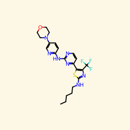 CCCCCNc1nc(C(F)(F)F)c(-c2ccnc(Nc3ccc(N4CCOCC4)cn3)n2)s1